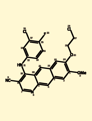 COc1cc2cc3ncc(C#N)c(Nc4ccc(F)c(Cl)c4)c3cc2cc1OCCCl